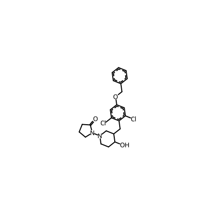 O=C1CCCN1N1CCC(O)C(Cc2c(Cl)cc(OCc3ccccc3)cc2Cl)C1